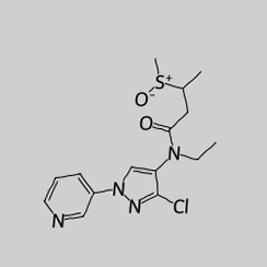 CCN(C(=O)CC(C)[S+](C)[O-])c1cn(-c2cccnc2)nc1Cl